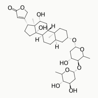 CC1O[C@H](O[C@@H]2C(C)O[C@@H](O[C@H]3CC[C@@]4(C)[C@H](CC[C@@H]5[C@@H]4C[C@@H](O)[C@]4(C)[C@@H](C6=CC(=O)OC6)CC[C@]54O)C3)C[C@H]2O)C[C@@H](O)[C@@H]1O